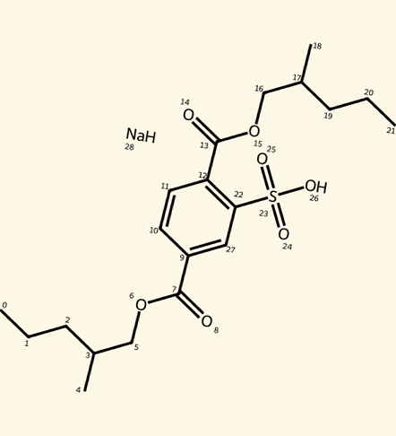 CCCC(C)COC(=O)c1ccc(C(=O)OCC(C)CCC)c(S(=O)(=O)O)c1.[NaH]